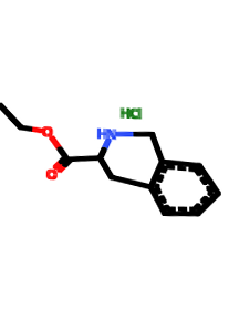 CCOC(=O)C1Cc2ccccc2CN1.Cl